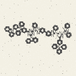 c1ccc([Si](c2ccccc2)(c2ccccc2)c2ccc(-c3nc(-n4c5ccccc5n5c6ccccc6nc45)nc(-n4c5ccccc5n5c6cc(-c7ccc8c(c7)nc7n(-c9nc(-c%10ccc([Si](c%11ccccc%11)(c%11ccccc%11)c%11cccc(-n%12c%13ccccc%13c%13ccccc%13%12)c%11)cc%10)nc(-n%10c%11ccccc%11c%11ccccc%11%10)n9)c9ccccc9n87)ccc6nc45)n3)cc2)cc1